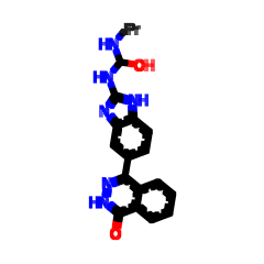 CC(C)NC(O)Nc1nc2cc(-c3n[nH]c(=O)c4ccccc34)ccc2[nH]1